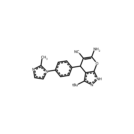 Cc1nccn1-c1ccc(C2C(C#N)=C(N)Oc3[nH]nc(C(C)(C)C)c32)cc1